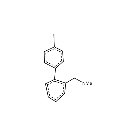 CNCc1ccccc1-c1ccc(C)cc1